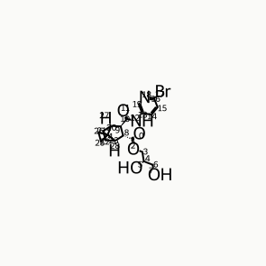 O=C(OC[C@@H](O)CO)[C@H]1[C@H](C(=O)Nc2ccc(Br)nc2)[C@@H]2CC[C@H]1C21CC1